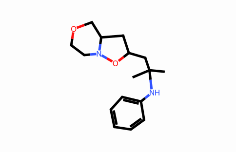 CC(C)(CC1CC2COCCN2O1)Nc1ccccc1